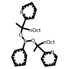 CCCCCCCCC(C)(OB(OC(C)(CCCCCCCC)c1ccccn1)c1ccccc1)c1ccccn1